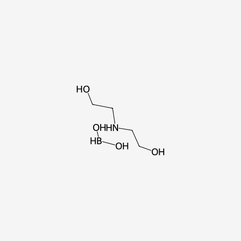 OBO.OCCNCCO